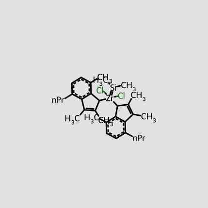 CCCc1ccc(C)c2c1C(C)=C(C)[CH]2[Zr]([Cl])([Cl])([CH]1C(C)=C(C)c2c(CCC)ccc(C)c21)=[Si](C)C